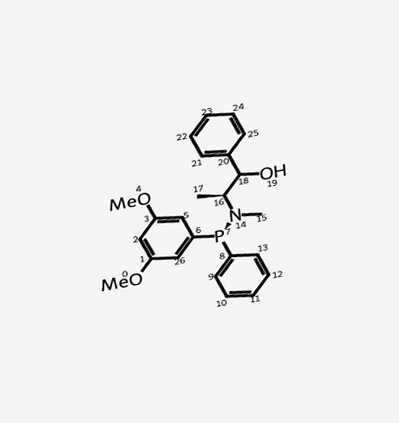 COc1cc(OC)cc([P@](c2ccccc2)N(C)[C@@H](C)C(O)c2ccccc2)c1